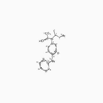 CC(C)CC(C)N(C(=O)C(Cl)(Cl)Cl)c1ccc(Nc2ccccc2)cc1